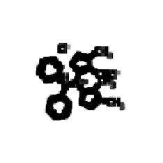 CC1=CC[C]([Zr+2]([C]2=C(C)C(C)=CC2)[SiH](c2ccccc2)c2ccccc2)=C1C.[Cl-].[Cl-]